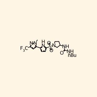 CCCCNC(=O)NC1CCN(S(=O)(=O)c2ccc(-c3cc(C(F)(F)F)nn3C)[nH]2)C1